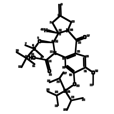 C=C1C[C@H]2[C@H](O[Si](C)(C)C(C)(C)C)N(C(=O)O)c3cc(O[Si](C(C)C)(C(C)C)C(C)C)c(OC)cc3C(=O)N2C1